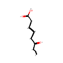 CCC(=O)CCCCC(=O)O